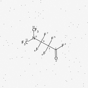 O=C(F)C(F)(F)C(F)(F)N(C(F)(F)F)C(F)(F)F